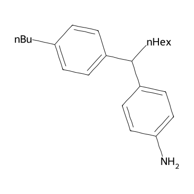 CCCCCCC(c1ccc(N)cc1)c1ccc(CCCC)cc1